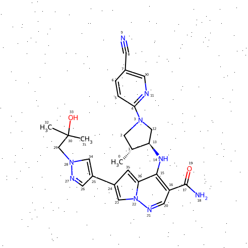 C[C@@H]1CN(c2ccc(C#N)cn2)C[C@H]1Nc1c(C(N)=O)cnn2cc(-c3cnn(CC(C)(C)O)c3)cc12